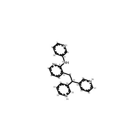 c1cncc(Nc2ncccc2CC(c2cccnc2)c2cccnc2)c1